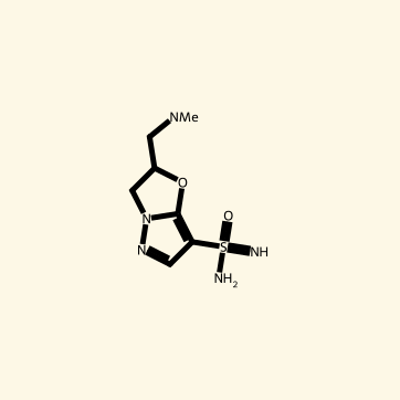 CNCC1Cn2ncc(S(=N)(N)=O)c2O1